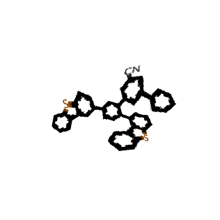 N#Cc1cc(-c2ccccc2)cc(-c2cc(-c3ccc4sc5ccccc5c4c3)ccc2-c2cccc3sc4ccccc4c23)c1